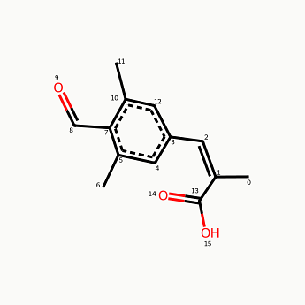 CC(=Cc1cc(C)c(C=O)c(C)c1)C(=O)O